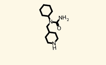 NC(=O)N(CC1CCNCC1)C1CCCCC1